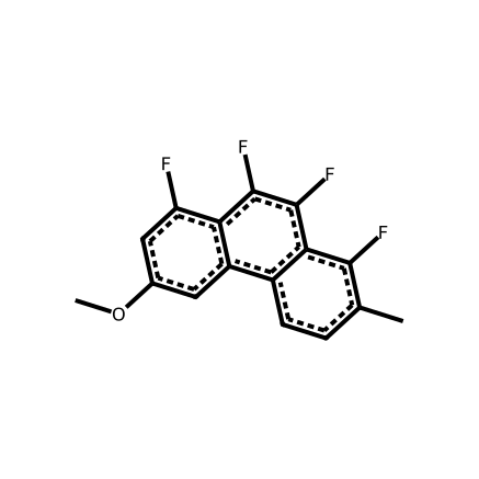 COc1cc(F)c2c(F)c(F)c3c(F)c(C)ccc3c2c1